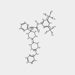 CC(C(=O)NC1(c2ccccc2)CCC(C2CCN(Cc3ccccc3)CC2)CC1)c1cc(C(F)(F)F)cc(C(F)(F)F)c1